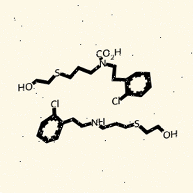 O=C(O)N(CCCSCCO)CCc1ccccc1Cl.OCCSCCCNCCc1ccccc1Cl